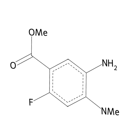 CNc1cc(F)c(C(=O)OC)cc1N